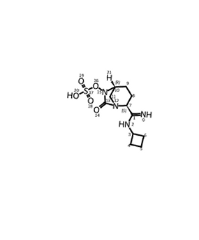 N=C(NC1CCC1)[C@@H]1CC[C@@H]2CN1C(=O)N2OS(=O)(=O)O